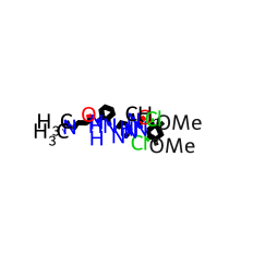 COc1cc(OC)c(Cl)c(NC(=O)N(C)c2cc(Nc3ccccc3NC(=O)/C=C/CN(C)C)ncn2)c1Cl